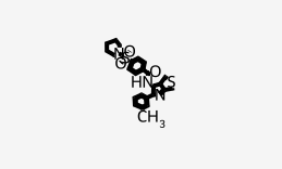 Cc1cccc(C2N=C3CSCC3C2NC(=O)c2ccc(S(=O)(=O)N3CCCCC3)cc2)c1